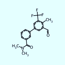 Cc1c(C=O)cc(-c2cccc(C(=O)N(C)C)c2)cc1C(F)(F)F